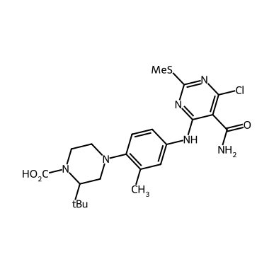 CSc1nc(Cl)c(C(N)=O)c(Nc2ccc(N3CCN(C(=O)O)C(C(C)(C)C)C3)c(C)c2)n1